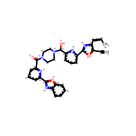 C#Cc1oc(-c2cccc(C(O)N3CCN(C(=O)c4cccc(-c5nc6ccccc6o5)n4)CC3)n2)nc1/C=C\C